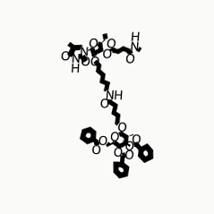 CC[C@H]1O[C@@H](n2cc(C)c(=O)[nH]c2=O)C(OCCCCCCNC(=O)CCCCO[C@@H]2O[C@H](COC(=O)c3ccccc3)[C@H](OC(=O)c3ccccc3)[C@H](OC(=O)c3ccccc3)[C@H]2C)[C@H]1OC(=O)CCC(=O)NC